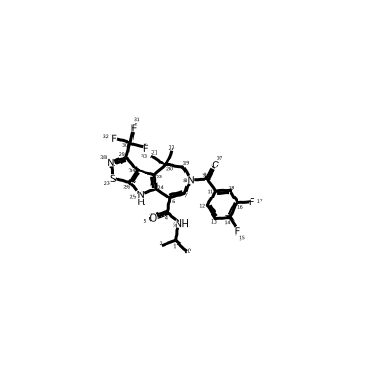 CC(C)NC(=O)C1=CN(C(=O)c2ccc(F)c(F)c2)CC(C)(C)c2c1[nH]c1snc(C(F)(F)F)c21